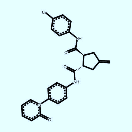 C=C1C[C@H](C(=O)Nc2ccc(Cl)cc2)[C@@H](C(=O)Nc2ccc(-n3ccccc3=O)cc2)C1